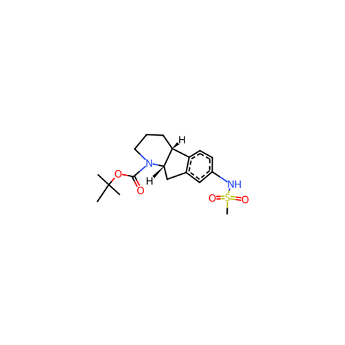 CC(C)(C)OC(=O)N1CCC[C@@H]2c3ccc(NS(C)(=O)=O)cc3C[C@@H]21